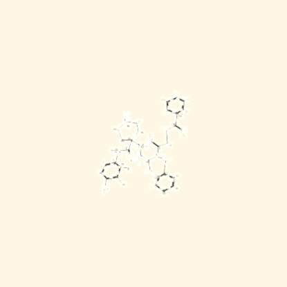 Cc1c(Cl)ccc(NC(=O)C2(NC(=O)[C@@H]3Cc4ccccc4CN3C(=O)CCC(=O)c3ccccc3)CCNCC2)c1C